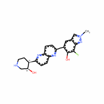 Cn1cc2cc(-c3ccc4nc([C@@H]5CCNC[C@@H]5O)ccc4n3)c(O)c(F)c2n1